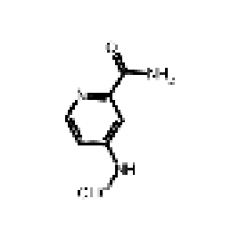 NC(=O)c1cc(N[C]=O)ccn1